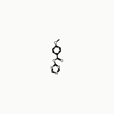 COc1ccc(C(=O)Oc2ncncn2)cc1